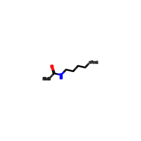 CCCCCCCCCNC(=O)OC